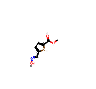 COC(=O)c1ccc(/C=N/O)s1